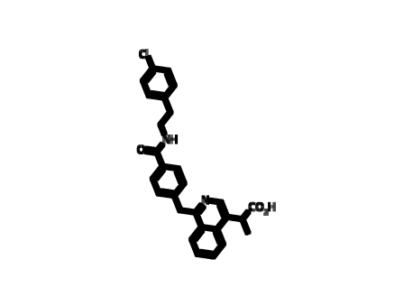 CC(C(=O)O)c1cnc(Cc2ccc(C(=O)NCCc3ccc(Cl)cc3)cc2)c2ccccc12